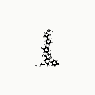 CCCn1cc(C(=O)Nc2ccc(Oc3ccnc(-c4cnn(C)c4)c3)c(F)c2)c(=O)n(-c2ccc(F)cc2)c1=O